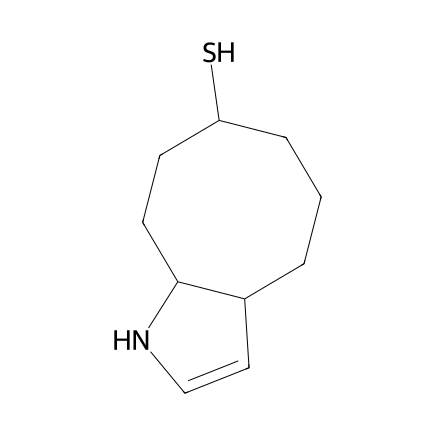 SC1CCCC2C=CNC2CC1